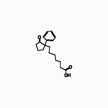 O=C(O)CCCCCCC1(c2ccccc2)CCCC1=O